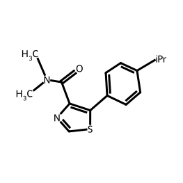 CC(C)c1ccc(-c2scnc2C(=O)N(C)C)cc1